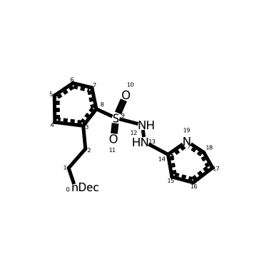 CCCCCCCCCCCCc1ccccc1S(=O)(=O)NNc1ccccn1